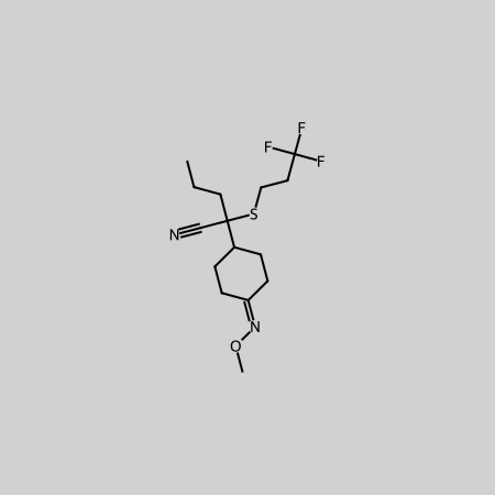 CCCC(C#N)(SCCC(F)(F)F)C1CCC(=NOC)CC1